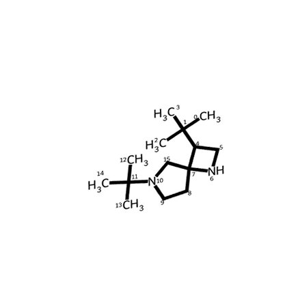 CC(C)(C)C1CNC12CCN(C(C)(C)C)C2